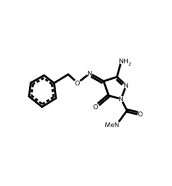 CNC(=O)N1N=C(N)C(=NOCc2ccccc2)C1=O